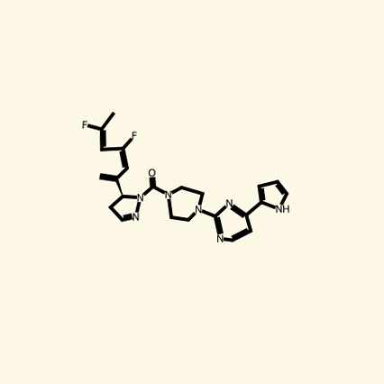 C=C(/C=C(F)\C=C(/C)F)[C@@H]1CC=NN1C(=O)N1CCN(c2nccc(-c3ccc[nH]3)n2)CC1